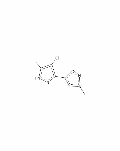 Cc1[nH]nc(-c2cnn(C)c2)c1Cl